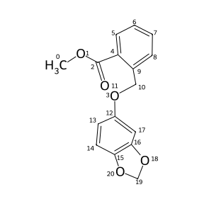 COC(=O)c1ccccc1COc1ccc2c(c1)OCO2